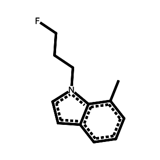 Cc1cccc2ccn(CCCF)c12